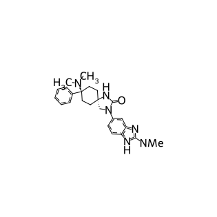 CNc1nc2cc(N3C[C@]4(CC[C@](c5ccccc5)(N(C)C)CC4)NC3=O)ccc2[nH]1